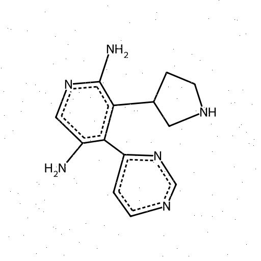 Nc1cnc(N)c(C2CCNC2)c1-c1ccncn1